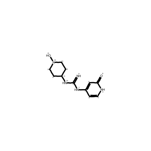 N=C(Nc1cc[nH]c(=O)c1)NC1CCN(O)CC1